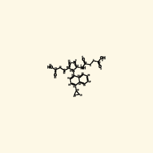 O=C(O)CCC(=O)Nc1nnc(SCC(=O)O)n1-c1ccc(C2CC2)c2ccccc12